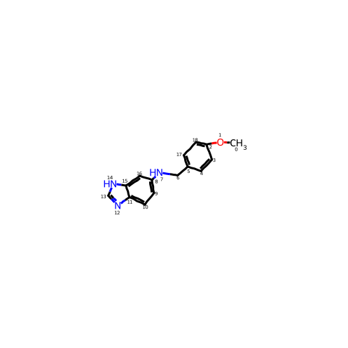 COc1ccc(CNc2ccc3nc[nH]c3c2)cc1